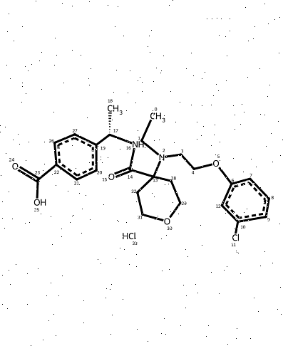 CCN(CCOc1cccc(Cl)c1)C1(C(=O)N[C@@H](C)c2ccc(C(=O)O)cc2)CCOCC1.Cl